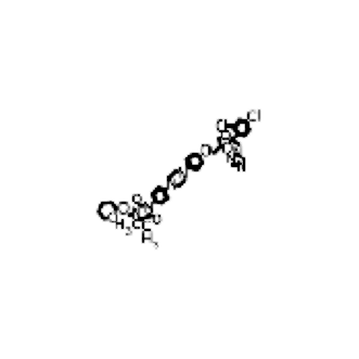 CC1(C)C(=O)N(c2ccc(N3CCN(c4ccc(OCC5COC(Cn6cncn6)(c6ccc(Cl)cc6Cl)O5)cc4)CC3)cc2)C(=O)N1COC1CCCCO1